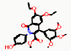 CCOc1cc2c(-c3cc(OC)c(OC)c(OC)c3)c(C(=O)OC)n(-c3ccc(O)cc3)c(=O)c2cc1OCC